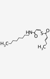 CC/C=C/C(=O)S/C=C\C(=O)NCCCCCCCC